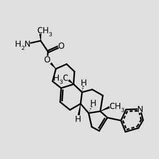 C[C@H](N)C(=O)O[C@H]1CC[C@@]2(C)C(=CC[C@@H]3[C@@H]2CC[C@]2(C)C(c4cccnc4)=CC[C@@H]32)C1